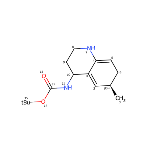 C[C@H]1C=C2C(=CC1)NCCC2NC(=O)OC(C)(C)C